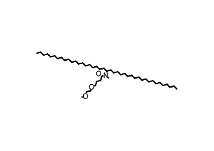 CCCCCCCCCCCCCCCCCCCCC(CCCCCCCCCCCCCCCCCCCC)N(C)C(=O)CCCOCCOC